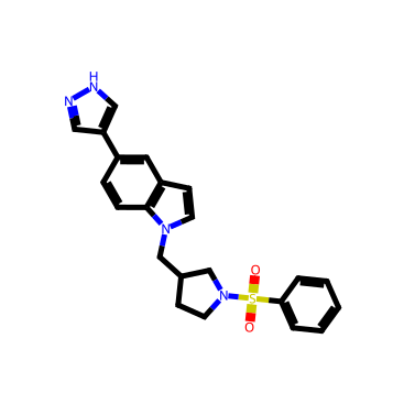 O=S(=O)(c1ccccc1)N1CCC(Cn2ccc3cc(-c4cn[nH]c4)ccc32)C1